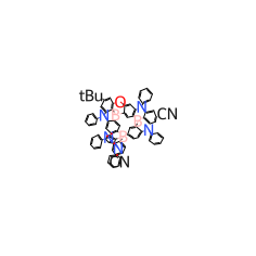 CC(C)(C)c1cc2c3c(c1)N(c1ccccc1)c1cc4c(cc1B3c1cc3c(cc1O2)N(c1ccccc1)c1cc(C#N)cc2c1B3c1ccccc1N2c1ccccc1)B1c2ccccc2N(c2ccccc2)c2cc(C#N)cc(c21)N4c1ccccc1